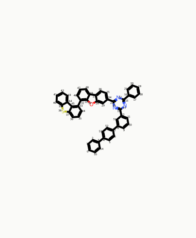 c1ccc(-c2ccc(-c3cccc(-c4nc(-c5ccccc5)nc(-c5ccc6c(c5)oc5c(-c7cccc8sc9ccccc9c78)cccc56)n4)c3)cc2)cc1